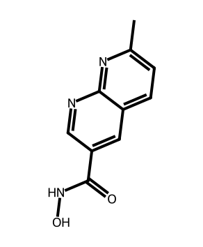 Cc1ccc2cc(C(=O)NO)cnc2n1